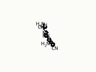 N#Cc1ccc2c(c1)[C@H](N)C1(CCN(c3cnc4nc(Sc5ccnc(N)c5Cl)ccc4n3)CC1)C2